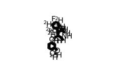 [2H]c1c([2H])c([C@@]2([2H])C(C([2H])([2H])Oc3ccc4c(c3)OC([2H])([2H])O4)C([2H])([2H])NC([2H])([2H])C2([2H])[2H])c([2H])c([2H])c1F